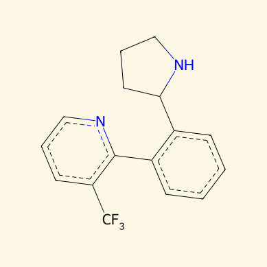 FC(F)(F)c1cccnc1-c1ccccc1C1CCCN1